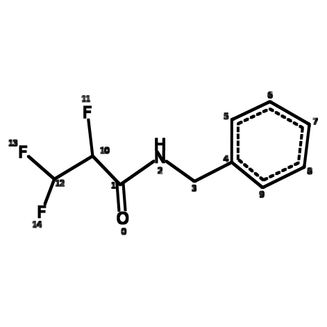 O=C(NCc1ccccc1)C(F)C(F)F